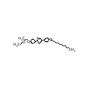 CCCCCCCCCCCOc1ccc(-c2cnc(-c3ccc(OCC(C)OCCC)cc3)nc2)cc1